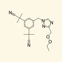 CCOOCc1ncn(Cc2cc(C(C)(C)C#N)cc(C(C)(C)C#N)c2)n1